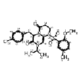 COc1ccc(C)cc1S(=O)(=O)N1CCC(=O)N2C1=CN(C(C)C)C(=O)C2Cc1ccc(Cl)cc1